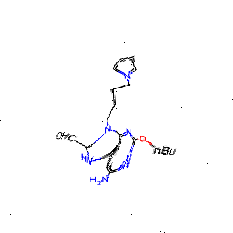 CCCCOc1nc(N)c2c(n1)N(CCCCn1cccc1)C(C=O)N2